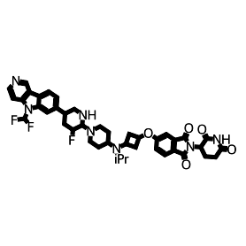 CC(C)N(C1CCN(C2NCC(c3ccc4c5cnccc5n(C(F)F)c4c3)CC2F)CC1)C1CC(Oc2ccc3c(c2)C(=O)N(C2CCC(=O)NC2=O)C3=O)C1